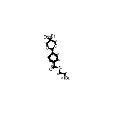 CCC1(CC)COC(c2ccc(C(=O)SCCC(C)(C)C)cc2)OC1